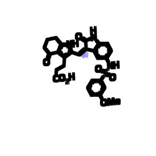 COc1cccc(S(=O)(=O)Nc2ccc3c(c2)/C(=C/c2[nH]c4c(c2CCC(=O)O)C(=O)CCC4)C(=O)N3)c1